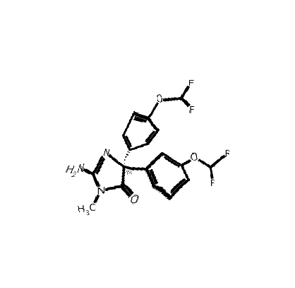 CN1C(=O)[C@](c2ccc(OC(F)F)cc2)(c2cccc(OC(F)F)c2)N=C1N